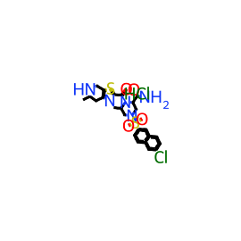 CC1Cc2nc(C(=O)N3C(C)CN(S(=O)(=O)c4ccc5cc(Cl)ccc5c4)CC3C(N)=O)sc2CN1.Cl